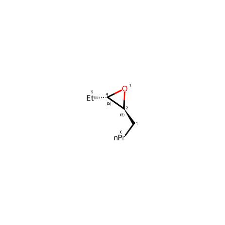 CCCC[C@@H]1O[C@H]1CC